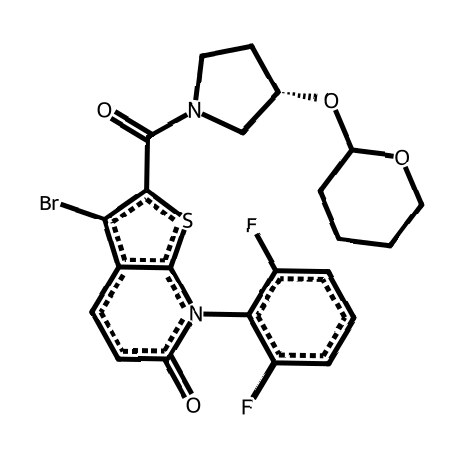 O=C(c1sc2c(ccc(=O)n2-c2c(F)cccc2F)c1Br)N1CC[C@H](OC2CCCCO2)C1